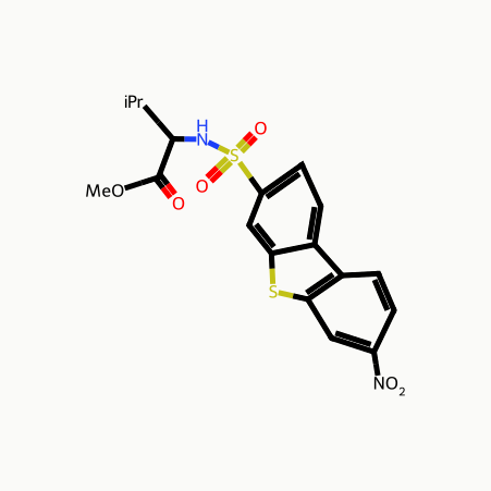 COC(=O)C(NS(=O)(=O)c1ccc2c(c1)sc1cc([N+](=O)[O-])ccc12)C(C)C